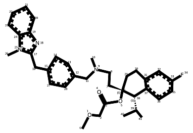 COCC(=O)O[C@]1(CCN(C)Cc2ccc(Cc3nc4ccccc4n3C)cc2)CCc2cc(F)ccc2[C@@H]1C(C)C